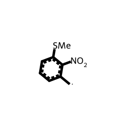 [CH2]c1cccc(SC)c1[N+](=O)[O-]